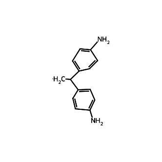 [CH2]C(c1ccc(N)cc1)c1ccc(N)cc1